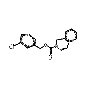 O=C(OCc1cccc(Cl)c1)N1C=Cc2ccccc2C1